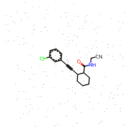 N#CCNC(=O)C1CCCCC1C#Cc1cccc(Cl)c1